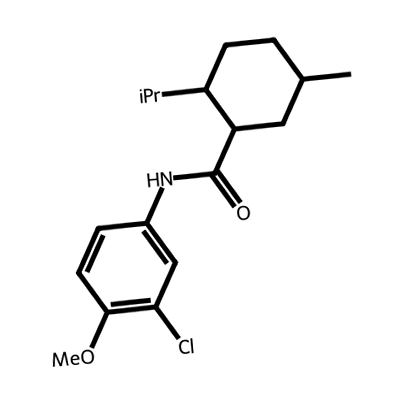 COc1ccc(NC(=O)C2CC(C)CCC2C(C)C)cc1Cl